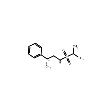 CC(C)S(=O)(=O)NC[C@H](C)c1ccccc1